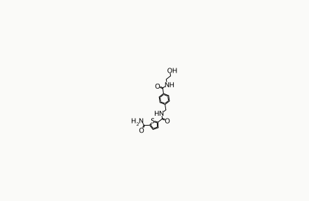 NC(=O)c1ccc(C(=O)NCc2ccc(C(=O)NCCO)cc2)s1